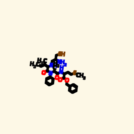 CCC(C)C(NCC(N)CS)C(=O)N(c1ccccc1)C(C)C(=O)NC(CCSC)C(=O)OCc1ccccc1